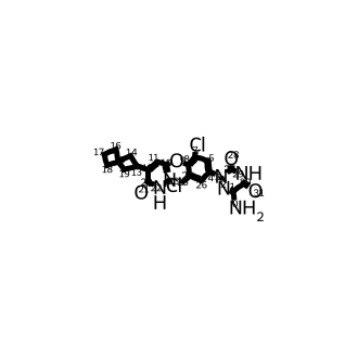 Nc1nn(-c2cc(Cl)c(Oc3cc(C4CC5(CCC5)C4)c(=O)[nH]n3)c(Cl)c2)c(=O)[nH]c1=O